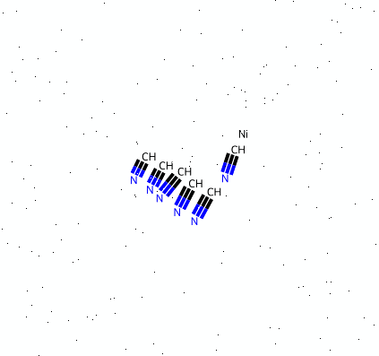 C#N.C#N.C#N.C#N.C#N.C#N.[Ni]